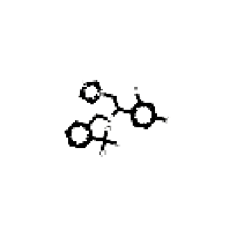 Fc1ccc(C(Cn2ccnc2)OCc2ccccc2C(Cl)(Cl)Cl)c(F)c1